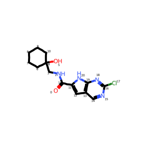 O=C(NCC1(O)CCCCC1)c1cc2cnc(Cl)nc2[nH]1